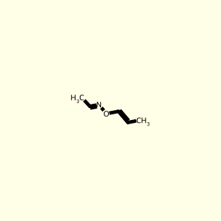 C/C=C/O/N=C/C